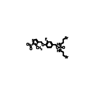 Cn1c(COc2ccc(COP(=O)(NCCBr)NCCBr)cc2F)cnc1[N+](=O)[O-]